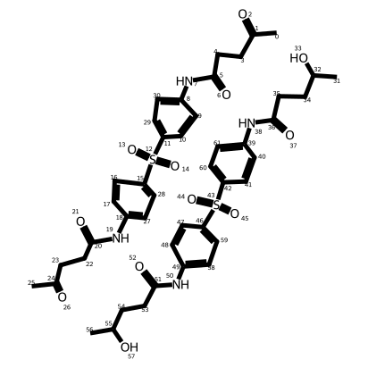 CC(=O)CCC(=O)Nc1ccc(S(=O)(=O)c2ccc(NC(=O)CCC(C)=O)cc2)cc1.CC(O)CCC(=O)Nc1ccc(S(=O)(=O)c2ccc(NC(=O)CCC(C)O)cc2)cc1